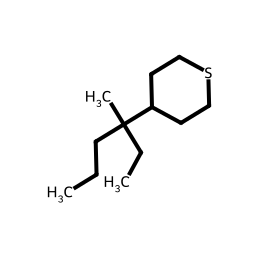 CCCC(C)(CC)C1CCSCC1